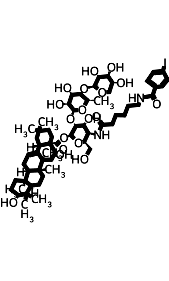 C[C@@H]1O[C@@H](O[C@H]2[C@H](OC(=O)[C@]34CCC(C)(C)C[C@H]3C3=CC[C@@H]5[C@@]6(C)CC[C@H](O)C(C)(C)[C@@H]6CC[C@@]5(C)[C@]3(C)C[C@H]4O)O[C@H](CO)[C@H](NC(=O)CCCCCNC(=O)c3ccc(I)cc3)[C@@H]2O)[C@H](O)[C@H](O)[C@H]1O[C@@H]1OC[C@@H](O)[C@H](O)[C@H]1O